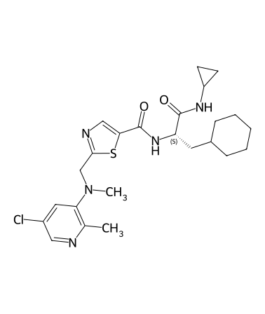 Cc1ncc(Cl)cc1N(C)Cc1ncc(C(=O)N[C@@H](CC2CCCCC2)C(=O)NC2CC2)s1